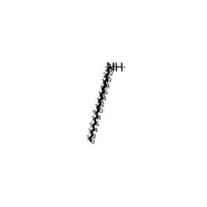 CCCCCCCCCCCCCCCCCCCCCCCC[NH]